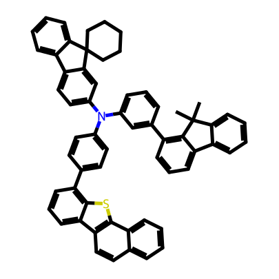 CC1(C)c2ccccc2-c2cccc(-c3cccc(N(c4ccc(-c5cccc6c5sc5c7ccccc7ccc65)cc4)c4ccc5c(c4)C4(CCCCC4)c4ccccc4-5)c3)c21